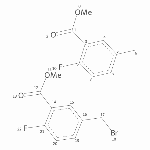 COC(=O)c1cc(C)ccc1F.COC(=O)c1cc(CBr)ccc1F